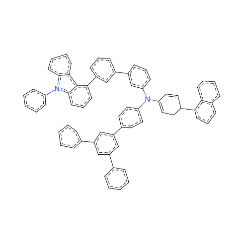 C1=CC(c2cccc3ccccc23)CC=C1N(c1ccc(-c2cc(-c3ccccc3)cc(-c3ccccc3)c2)cc1)c1cccc(-c2cccc(-c3cccc4c3c3ccccc3n4-c3ccccc3)c2)c1